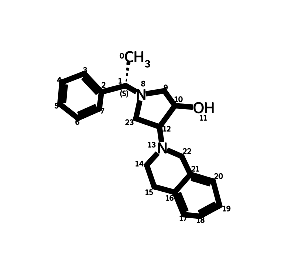 C[C@@H](c1ccccc1)N1CC(O)C(N2CCc3ccccc3C2)C1